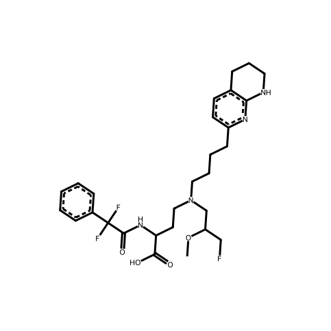 COC(CF)CN(CCCCc1ccc2c(n1)NCCC2)CCC(NC(=O)C(F)(F)c1ccccc1)C(=O)O